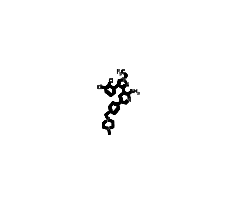 CN1CCN(Cc2ccc(-c3cnc(N)c(-c4nn(CC(F)(F)F)cc4-c4cccc(Cl)c4Cl)c3)cc2)CC1